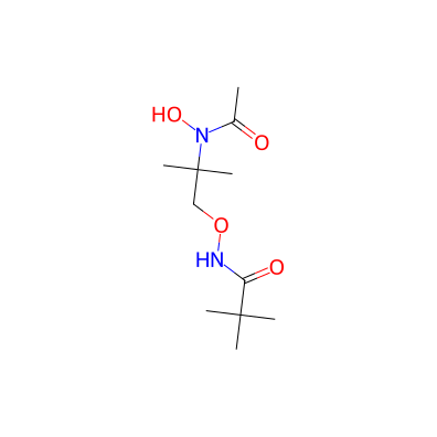 CC(=O)N(O)C(C)(C)CONC(=O)C(C)(C)C